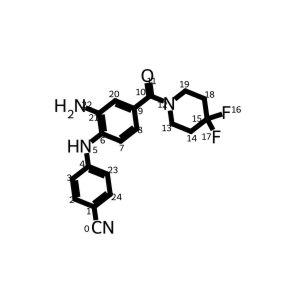 N#Cc1ccc(Nc2ccc(C(=O)N3CCC(F)(F)CC3)cc2N)cc1